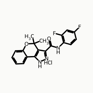 CC1(C)Oc2ccccc2-c2[nH]nc(C(=O)Nc3ccc(F)cc3F)c21.Cl